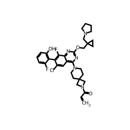 C=CC(=O)N1CC2(CCN(c3nc(OCC4(CN5CCCC5)CC4)nc4c(F)c(-c5c(O)cccc5F)c(Cl)cc34)CC2)C1